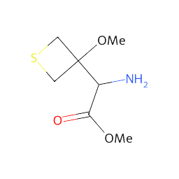 COC(=O)C(N)C1(OC)CSC1